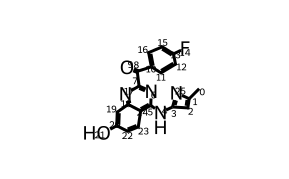 CC1=CC(Nc2nc(C(=O)c3ccc(F)cc3)nc3cc(O)ccc23)=N1